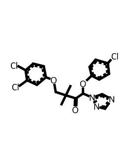 CC(C)(COc1ccc(Cl)c(Cl)c1)C(=O)C(Oc1ccc(Cl)cc1)n1cncn1